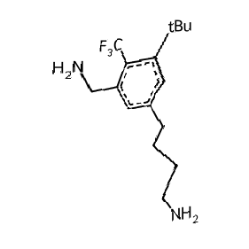 CC(C)(C)c1cc(CCCCN)cc(CN)c1C(F)(F)F